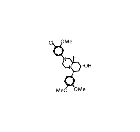 COc1cc(N2CCN3[C@@H](C[C@@H](O)C[C@H]3c3ccc(OC)c(OC)c3)C2)ccc1Cl